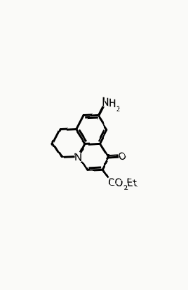 CCOC(=O)c1cn2c3c(cc(N)cc3c1=O)CCC2